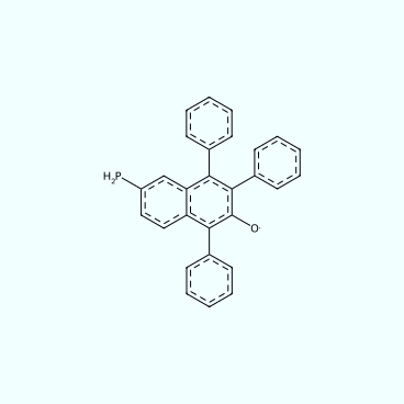 [O]c1c(-c2ccccc2)c(-c2ccccc2)c2cc(P)ccc2c1-c1ccccc1